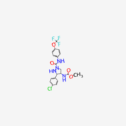 COC(=O)NC1CN(C(=O)Nc2ccc(OC(F)(F)F)cc2)NC1c1ccc(Cl)cc1